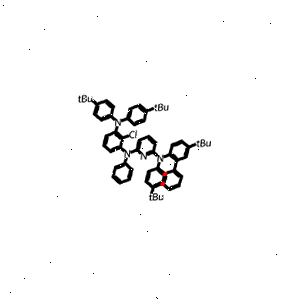 CC(C)(C)c1ccc(N(c2ccc(C(C)(C)C)cc2)c2cccc(N(c3ccccc3)c3cccc(N(c4ccc(C(C)(C)C)cc4)c4ccc(C(C)(C)C)cc4-c4ccccc4)n3)c2Cl)cc1